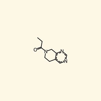 CCC(=O)N1CCc2cncnc2C1